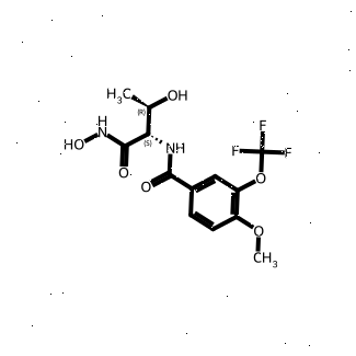 COc1ccc(C(=O)N[C@H](C(=O)NO)[C@@H](C)O)cc1OC(F)(F)F